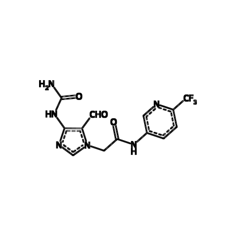 NC(=O)Nc1ncn(CC(=O)Nc2ccc(C(F)(F)F)nc2)c1C=O